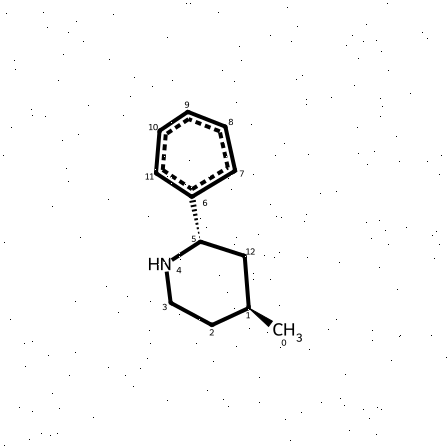 C[C@H]1CCN[C@H](c2ccccc2)C1